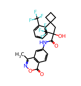 Cc1noc(=O)c2ccc(NC(=O)C(O)(CC3(c4ccccc4C(F)(F)F)CCC3)C(F)(F)F)cc12